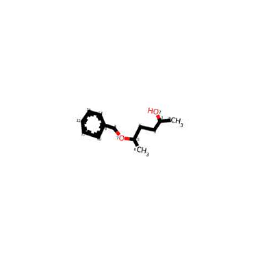 CC(O)CCC(C)OCc1ccccc1